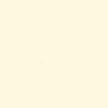 CCOC(=O)c1ccc(NC(=O)C(C)N(C)C)cc1.Cl